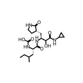 CCC(C)C[C@H](NC(=O)O)C(=O)N[C@@H](C[C@@H]1CCNC1=O)C(O)C(=O)NC1CC1